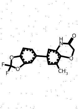 Cc1cc(-c2ccc3c(c2)OC(F)(F)O3)cc2c1OCC(=O)N2